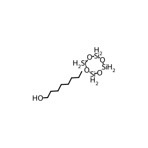 CCCCCCCCO.O1[SiH2]O[SiH2]O[SiH2]O[SiH2]1